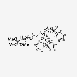 CO[Si](CC[SiH2]OCCC[Si](C)(O[Si](C)(C)O[Si](C)(C)c1ccccc1)O[Si](C)(c1ccccc1)c1ccccc1)(OC)OC